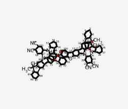 CC1(C)c2ccccc2-c2cc3c4cc5c(cc4n(-c4cc(C#N)c(C#N)cc4-n4c6ccccc6c6ccccc64)c3cc21)oc1cc(-c2cccc3c2c2ccccc2n3-c2cc(C#N)c(C#N)cc2-n2c3cc4c(cc3c3cc6c(cc32)C(C)(C)c2ccccc2-6)-c2ccccc2C4(C)C)ccc15